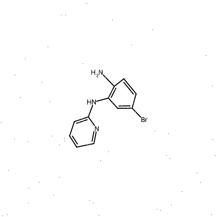 Nc1ccc(Br)cc1Nc1ccccn1